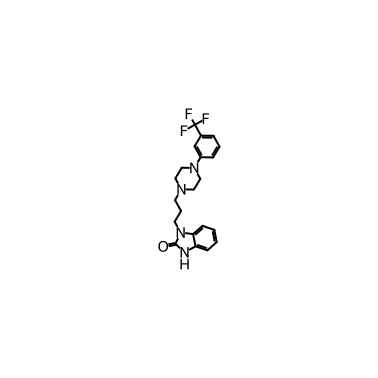 O=c1[nH]c2ccccc2n1CCCN1CCN(c2cccc(C(F)(F)F)c2)CC1